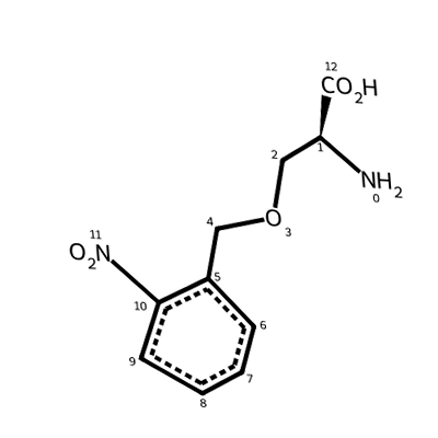 N[C@@H](COCc1ccccc1[N+](=O)[O-])C(=O)O